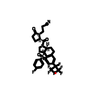 N#CCCN1C(=O)CC[C@H]1C(=O)N1CC[C@]2(S(=O)(=O)c3ccc(F)cc3)c3ccc(C(F)(C(F)(F)F)C(F)(F)F)cc3CC[C@H]12